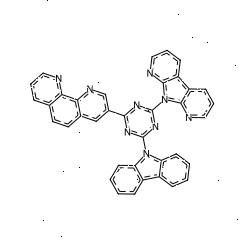 c1cnc2c(c1)ccc1cc(-c3nc(-n4c5ccccc5c5ccccc54)nc(-n4c5ncccc5c5cccnc54)n3)cnc12